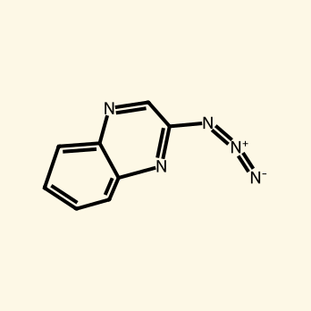 [N-]=[N+]=Nc1cnc2ccccc2n1